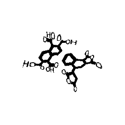 O=C(O)c1ccc2c(C(=O)O)c(C(=O)O)ccc2c1C(=O)O.O=C1CC(C2CC3C(=O)OC(=O)C3c3ccccc32)C(=O)O1